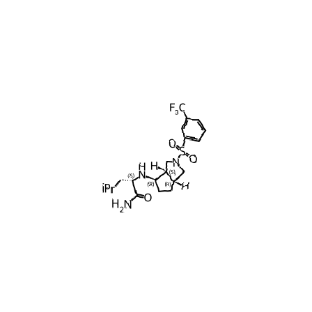 CC(C)C[C@H](N[C@@H]1CC[C@H]2CN(S(=O)(=O)c3cccc(C(F)(F)F)c3)C[C@H]21)C(N)=O